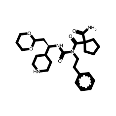 NC(=O)C1(C(=O)N(CCc2ccccc2)C(=O)N[C@H](CC2OCCCO2)C2CCNCC2)CCCC1